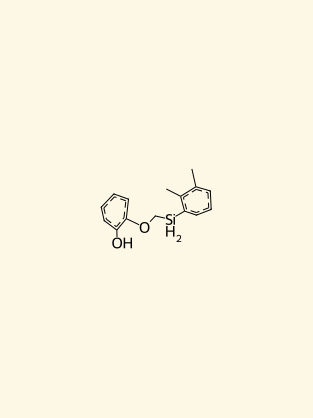 Cc1cccc([SiH2]COc2ccccc2O)c1C